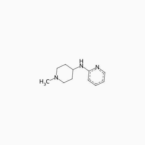 CN1CCC(Nc2ccccn2)CC1